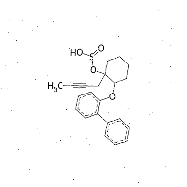 CC#CCC1(OS(=O)O)CCCCC1Oc1ccccc1-c1ccccc1